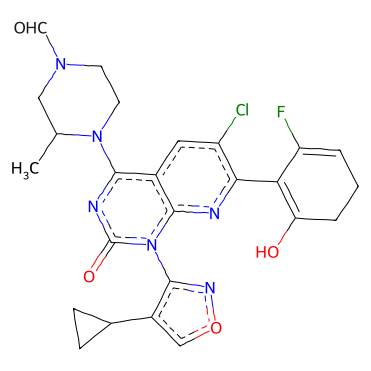 CC1CN(C=O)CCN1c1nc(=O)n(-c2nocc2C2CC2)c2nc(C3=C(O)CCC=C3F)c(Cl)cc12